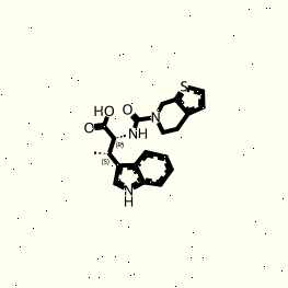 C[C@@H](c1c[nH]c2ccccc12)[C@@H](NC(=O)N1CCc2ccsc2C1)C(=O)O